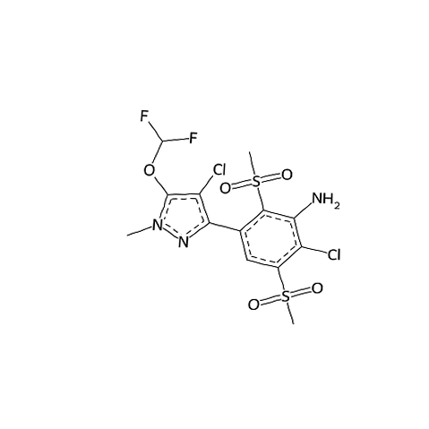 Cn1nc(-c2cc(S(C)(=O)=O)c(Cl)c(N)c2S(C)(=O)=O)c(Cl)c1OC(F)F